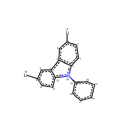 [Li][c]1ccc2c(c1)c1c[c]([Li])ccc1n2-c1ccccc1